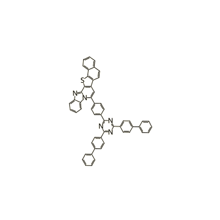 c1ccc(-c2ccc(-c3nc(-c4ccc(-c5ccccc5)cc4)nc(-c4ccc(-c5cc6c7ccc8ccccc8c7sc6c6nc7ccccc7n56)cc4)n3)cc2)cc1